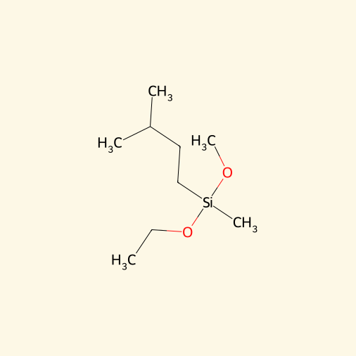 CCO[Si](C)(CCC(C)C)OC